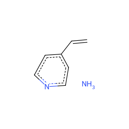 C=Cc1ccncc1.N